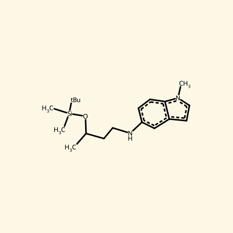 CC(CCNc1ccc2c(ccn2C)c1)O[Si](C)(C)C(C)(C)C